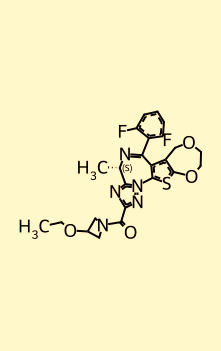 CCOC1CN(C(=O)c2nc3n(n2)-c2sc4c(c2C(c2c(F)cccc2F)=N[C@H]3C)COCCO4)C1